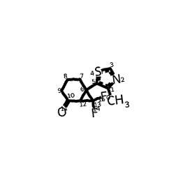 Cc1ncsc1C12CCCC(=O)C1C2(F)F